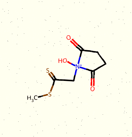 CSC(=S)C[N+]1(O)C(=O)CCC1=O